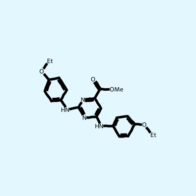 CCOc1ccc(Nc2cc(C(=O)OC)nc(Nc3ccc(OCC)cc3)n2)cc1